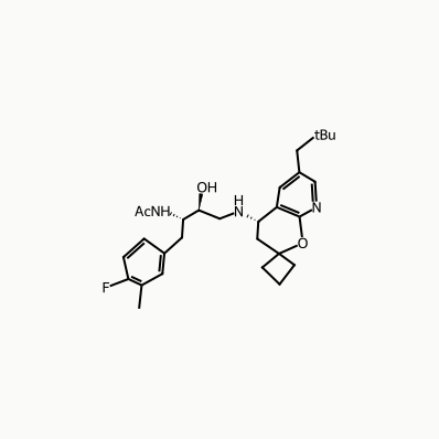 CC(=O)N[C@@H](Cc1ccc(F)c(C)c1)[C@@H](O)CN[C@H]1CC2(CCC2)Oc2ncc(CC(C)(C)C)cc21